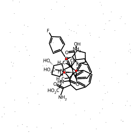 CC1(C)C(C(N)=O)Cc2ccc(cc2)[C@@]1(C(=O)NC(=O)O)N1CC[C@H](O)[C@@H]1N(c1ccc(F)cc1)[C@H]1[C@@H](O)CCN1[C@]1(C(=O)NC(=O)O)c2ccc(cc2)CC(C(N)=O)C1(C)C